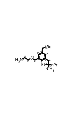 CCCC(C)(CC)Cc1cc(CSCCN)cc(CC(C)(C)C)c1